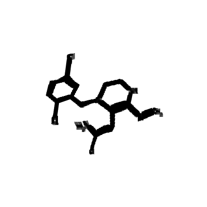 C=NC1=C(/C=C(\N)Cl)N(Cc2cc(Cl)ccc2Cl)CCN1